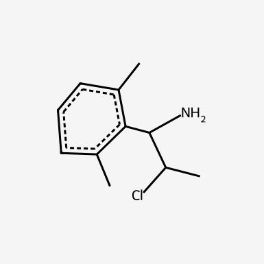 Cc1cccc(C)c1C(N)C(C)Cl